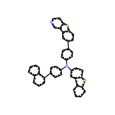 c1ccc2c(-c3ccc(N(c4ccc(-c5ccc6sc7ccncc7c6c5)cc4)c4ccc5sc6ccccc6c5c4)cc3)cccc2c1